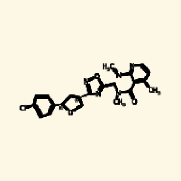 C=Nc1nccc(C)c1C(=O)N(C)Cc1nc([C@@H]2CO[C@@H](c3ccc(Cl)cc3)C2)no1